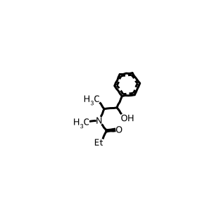 CCC(=O)N(C)C(C)C(O)c1ccccc1